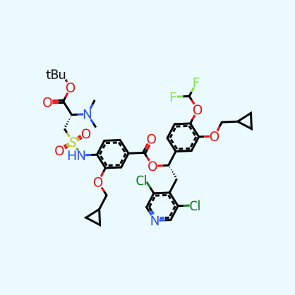 CN(C)[C@H](CS(=O)(=O)Nc1ccc(C(=O)O[C@@H](Cc2c(Cl)cncc2Cl)c2ccc(OC(F)F)c(OCC3CC3)c2)cc1OCC1CC1)C(=O)OC(C)(C)C